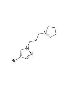 Brc1cnn(CCCN2CCCC2)c1